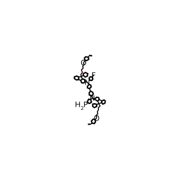 C=Cc1ccc(OCCCCCCC2(c3ccccc3)c3ccccc3-c3ccc(N(c4ccc(F)cc4)c4ccc(-c5ccc(N(c6ccc(P)cc6)c6ccc7c(c6)C(CCCCCCOc6ccc(C=C)cc6)(c6ccccc6)c6ccccc6-7)cc5)cc4)cc32)cc1